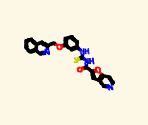 O=C(NC(=S)Nc1cccc(OCc2cc3ccccc3cn2)c1)c1cc2cnccc2o1